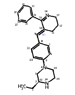 CC[C@H]1CN(c2ccc(/C=C3\CCCN=C3c3cccnc3)cc2)CCN1